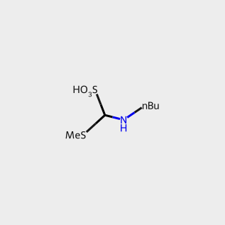 CCCCNC(SC)S(=O)(=O)O